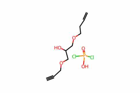 C#CCOCC(O)COCCC=C.O=P(O)(Cl)Cl